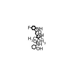 Cc1[nH]c(/C=C2\C(=O)Nc3ccc(F)cc32)c(C)c1OC(=O)N[C@H]1CCCC[C@@H]1O